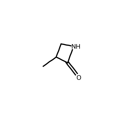 CC1CNC1=O